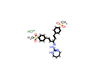 CS(=O)(=O)c1ccc(C=CC(C=Cc2ccc(S(C)(=O)=O)cc2)=NNC2=NCCCCN2)cc1.Cl